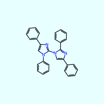 c1ccc(-c2cn(-c3nc(-c4ccccc4)cn3-c3ccccc3)c(-c3ccccc3)n2)cc1